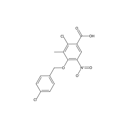 Cc1c(Cl)c(C(=O)O)cc([N+](=O)[O-])c1OCc1ccc(Cl)cc1